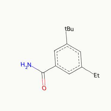 CCc1cc(C(N)=O)cc(C(C)(C)C)c1